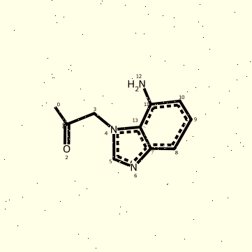 CC(=O)Cn1cnc2cccc(N)c21